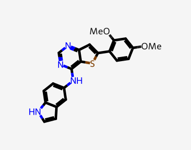 COc1ccc(-c2cc3ncnc(Nc4ccc5[nH]ccc5c4)c3s2)c(OC)c1